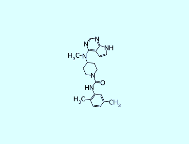 Cc1ccc(C)c(NC(=O)N2CCC(N(C)c3ncnc4[nH]ccc34)CC2)c1